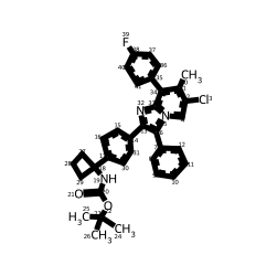 Cc1c(Cl)cn2c(-c3ccccc3)c(-c3ccc(C4(NC(=O)OC(C)(C)C)CCC4)cc3)nc2c1-c1ccc(F)cc1